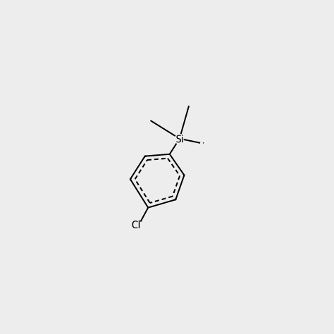 [CH2][Si](C)(C)c1ccc(Cl)cc1